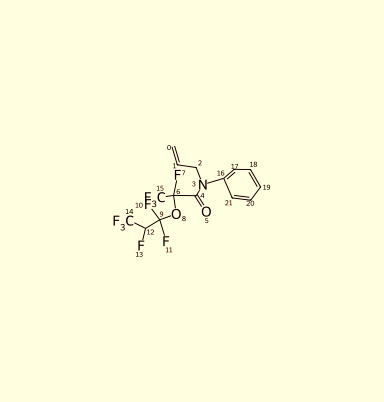 C=CCN(C(=O)C(F)(OC(F)(F)C(F)C(F)(F)F)C(F)(F)F)c1ccccc1